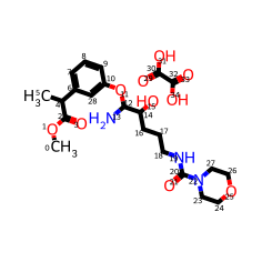 COC(=O)C(C)c1cccc(OC(N)C(O)CCCNC(=O)N2CCOCC2)c1.O=C(O)C(=O)O